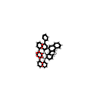 c1ccc(-c2ccc(N(c3ccccc3-c3ccccc3)c3c(N(c4ccccc4)c4ccccc4-c4ccccc4)ccc4oc5c6ccccc6ccc5c34)cc2)cc1